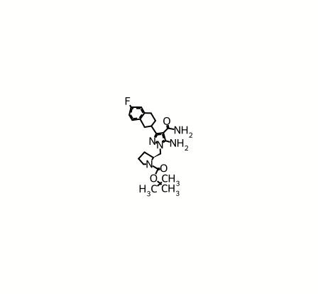 CC(C)(C)OC(=O)N1CCC[C@H]1Cn1nc(C2CCc3cc(F)ccc3C2)c(C(N)=O)c1N